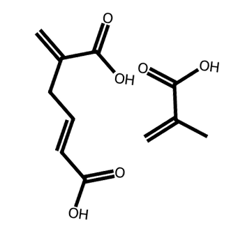 C=C(C)C(=O)O.C=C(CC=CC(=O)O)C(=O)O